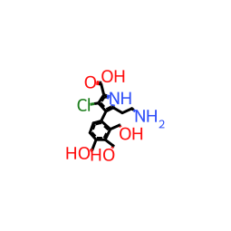 NCCc1[nH]c(C(=O)O)c(Cl)c1-c1ccc(CO)c(CO)c1CO